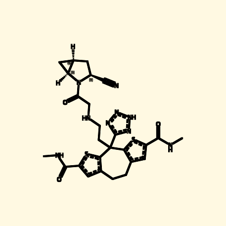 CNC(=O)c1cc2c(s1)C(CCNCC(=O)N1[C@H](C#N)C[C@@H]3C[C@@H]31)(c1nn[nH]n1)c1sc(C(=O)NC)cc1CC2